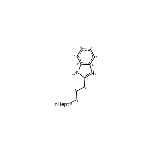 CCCCCCCCCCC1=Nc2ccccc2[N]1